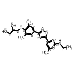 CCNc1nc(C)cc(-c2nc(-c3cc(C)c(OCC(O)CO)c(C)c3)no2)n1